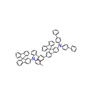 Cc1ccc(N(c2ccc3c(c2)C2(c4ccccc4-c4ccccc42)c2ccccc2-3)c2ccccc2-c2cccc(-c3ccc4c(c3)C3(c5ccccc5-c5ccccc53)c3cc(N(c5ccc(-c6ccccc6)cc5)c5ccc(-c6ccccc6)cc5)ccc3-4)c2)cc1